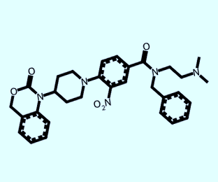 CN(C)CCN(Cc1ccccc1)C(=O)c1ccc(N2CCC(N3C(=O)OCc4ccccc43)CC2)c([N+](=O)[O-])c1